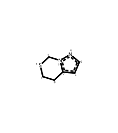 c1cc2n(n1)CSCC2